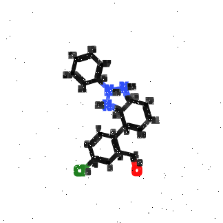 O=Cc1cc(Cl)ccc1-c1cccc2nn(-c3ccccc3)nc12